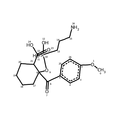 COc1ccc(C(=O)C2(O[Si](O)(O)CCCN)CCCCC2C(=O)O)cc1